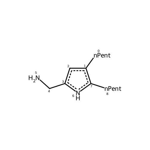 CCCCCc1cc(CN)[nH]c1CCCCC